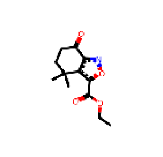 CCOC(=O)c1onc2c1C(C)(C)CCC2=O